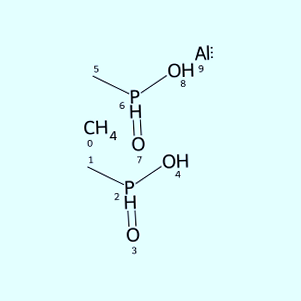 C.C[PH](=O)O.C[PH](=O)O.[Al]